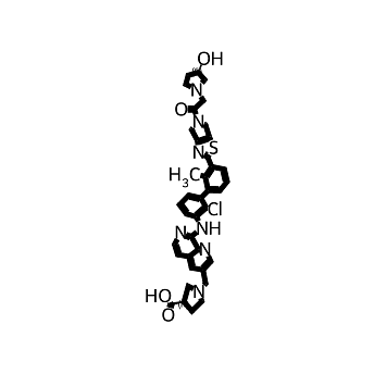 Cc1c(-c2nc3c(s2)CN(C(=O)CN2CC[C@H](O)C2)C3)cccc1-c1cccc(Nc2nccc3cc(CN4CC[C@@H](C(=O)O)C4)cnc23)c1Cl